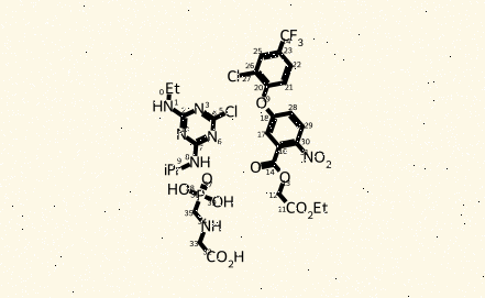 CCNc1nc(Cl)nc(NC(C)C)n1.CCOC(=O)COC(=O)c1cc(Oc2ccc(C(F)(F)F)cc2Cl)ccc1[N+](=O)[O-].O=C(O)CNCP(=O)(O)O